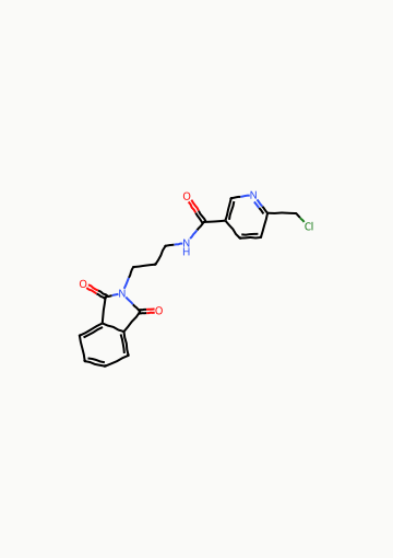 O=C(NCCCN1C(=O)c2ccccc2C1=O)c1ccc(CCl)nc1